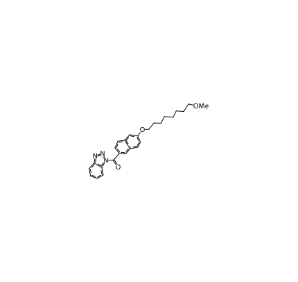 COCCCCCCCCOc1ccc2cc(C(=O)n3nnc4ccccc43)ccc2c1